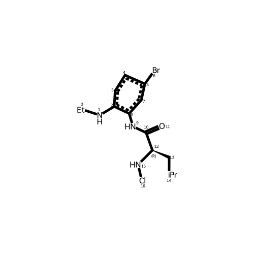 CCNc1ccc(Br)cc1NC(=O)[C@@H](CC(C)C)NCl